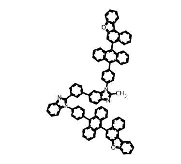 Cc1nc2ccc(-c3cccc(-c4nc5ccccc5n4-c4ccc(-c5c6ccccc6c(-c6cc7oc8ccccc8c7c7ccccc67)c6ccccc56)cc4)c3)cc2n1-c1ccc(-c2c3ccccc3c(-c3cc4oc5ccccc5c4c4ccccc34)c3ccccc23)cc1